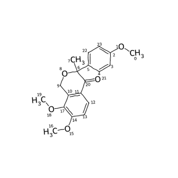 COc1ccc(C2(C)OCc3c(ccc(OC)c3OC)C2=O)cc1